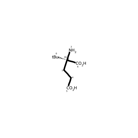 CC(C)(C)[C@@](N)(CCC(=O)O)C(=O)O